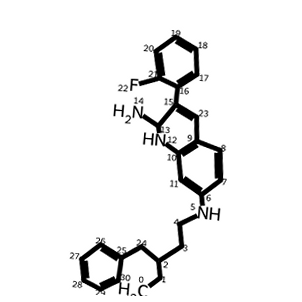 CCC(CCNc1ccc2c(c1)NC(N)C(c1ccccc1F)=C2)Cc1ccccc1